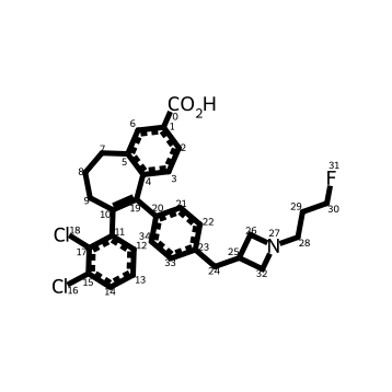 O=C(O)c1ccc2c(c1)CCCC(c1cccc(Cl)c1Cl)=C2c1ccc(CC2CN(CCCF)C2)cc1